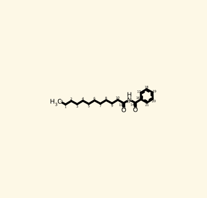 CCCCCCCCCCCC(=O)NC(=O)c1ccccc1